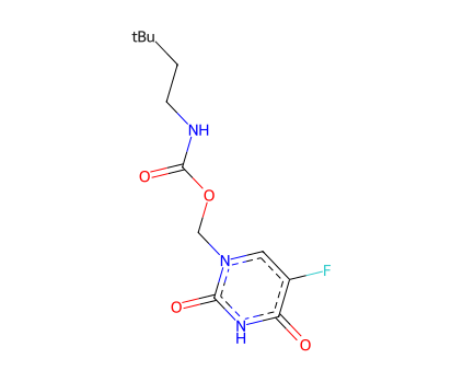 CC(C)(C)CCNC(=O)OCn1cc(F)c(=O)[nH]c1=O